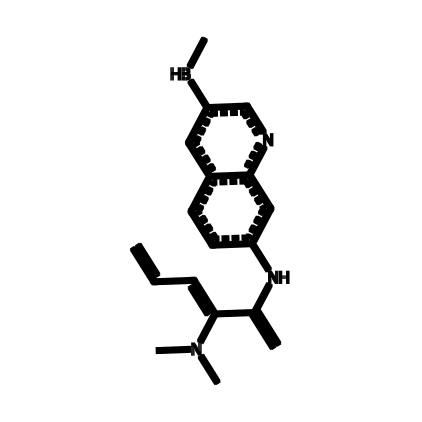 C=C/C=C(/C(=C)Nc1ccc2cc(BC)cnc2c1)N(C)C